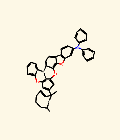 CC1CCC/C=C/C(C)(c2cc3c4c(c2)Oc2c(ccc5c2oc2cc(N(c6ccccc6)c6ccccc6)ccc25)B4c2ccccc2O3)C1